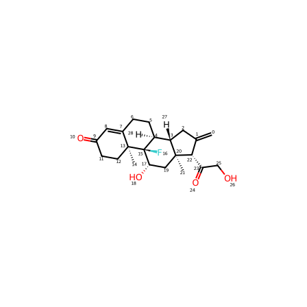 C=C1C[C@H]2[C@@H]3CCC4=CC(=O)CC[C@]4(C)[C@@]3(F)[C@@H](O)C[C@]2(C)[C@H]1C(=O)CO